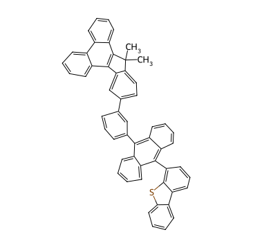 CC1(C)c2ccc(-c3cccc(-c4c5ccccc5c(-c5cccc6c5sc5ccccc56)c5ccccc45)c3)cc2-c2c1c1ccccc1c1ccccc21